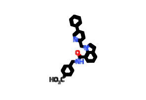 O=C(O)c1ccc(CNC(=O)c2cccc3ccn(Cc4ccc(-c5ccccc5)cn4)c23)cc1